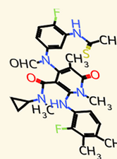 CC(=S)Nc1cc(N(C=O)c2c(C(=O)N(C)C3CC3)c(Nc3ccc(C)c(C)c3F)n(C)c(=O)c2C)ccc1F